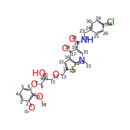 COc1cccc(OC[C@H](O)COCc2cc3c(=O)c(C(=O)NCc4ccc(Cl)cc4)cn(C)c3s2)c1OC